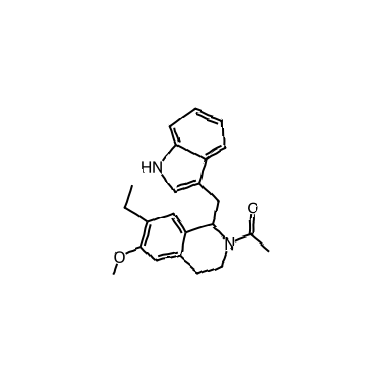 CCc1cc2c(cc1OC)CCN(C(C)=O)C2Cc1c[nH]c2ccccc12